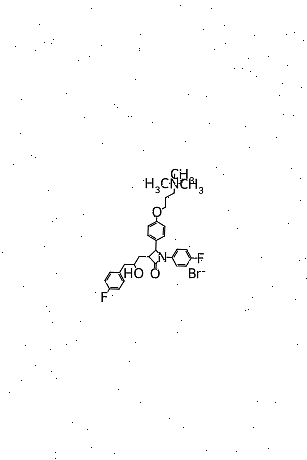 C[N+](C)(C)CCCOc1ccc(C2C(CC(O)Cc3ccc(F)cc3)C(=O)N2c2ccc(F)cc2)cc1.[Br-]